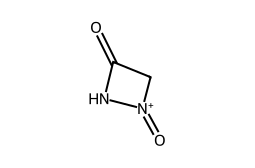 O=C1C[N+](=O)N1